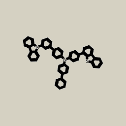 C1=CC(c2ccc(N(c3ccc(-c4cccc(-n5c6ccccc6c6ccccc65)c4)cc3)c3ccc(-c4cccc5c4sc4ccccc45)cc3)cc2)=CCC1